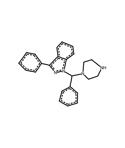 c1ccc(-c2nn(C(c3ccccc3)N3CCNCC3)c3ccccc23)cc1